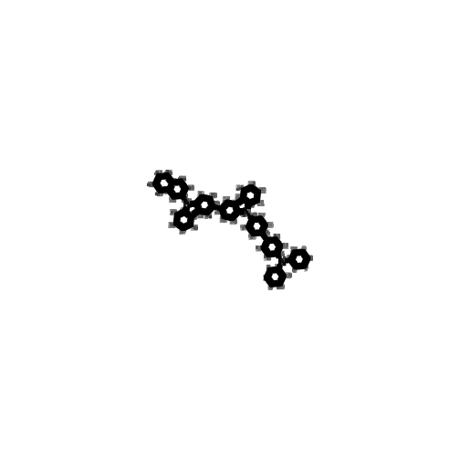 c1ccc(N(c2ccccc2)c2ccc(-c3ccc(-n4c5ccccc5c5cc(-c6ccc7c(c6)c6ccccc6n7-c6ccc7ccccc7c6)ccc54)cc3)cc2)cc1